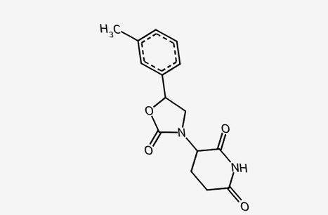 Cc1cccc(C2CN(C3CCC(=O)NC3=O)C(=O)O2)c1